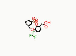 FC(F)F.O=C(O)Cc1cccc2c1OS(=O)(=O)c1cccc(c1)CO2